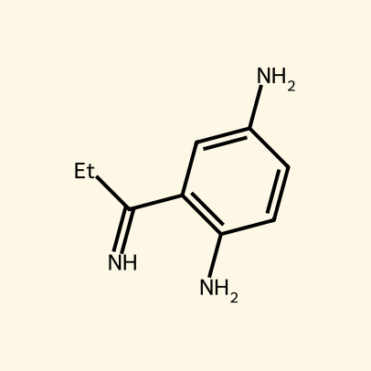 CCC(=N)c1cc(N)ccc1N